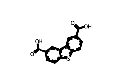 O=C(O)c1ccc2sc3ccc(C(=O)O)cc3c2c1